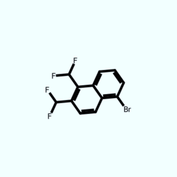 FC(F)c1ccc2c(Br)cccc2c1C(F)F